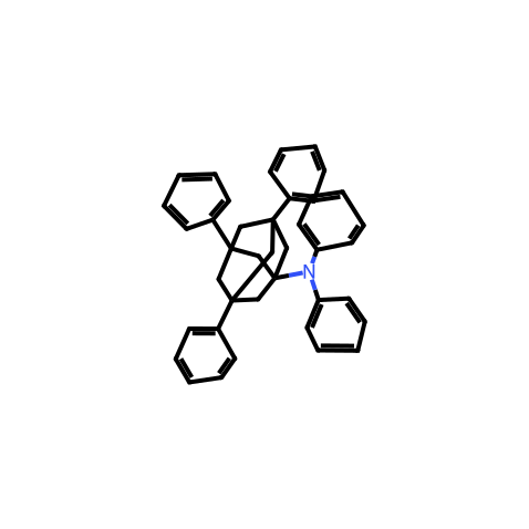 c1ccc(N(c2ccccc2)C23CC4(c5ccccc5)CC(c5ccccc5)(CC(c5ccccc5)(C4)C2)C3)cc1